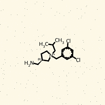 CC(C)C[N+]1(Cc2cc(Cl)cc(Cl)c2)CC[C@H](CN)C1